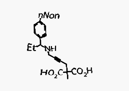 CCCCCCCCCc1ccc(C(CC)NCC#CCC(C)(C(=O)O)C(=O)O)cc1